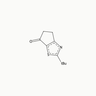 CC(C)(C)c1nc2c(s1)C(=O)CC2